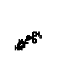 COC(C)=O.c1cc[nH]c1